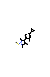 C/C=C(\C(C)=C/C(C)C1CC1)C1C(C)C(C)N(SC)C1C